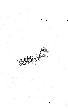 CCN(CCCN(C)C)C(=S)NC(=O)C1CC[C@H]2[C@@H]3CCC4N(C)C(=O)C=C[C@]4(C)[C@@H]3CC[C@]12C